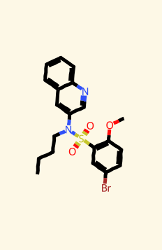 CCCCN(c1cnc2ccccc2c1)S(=O)(=O)c1cc(Br)ccc1OC